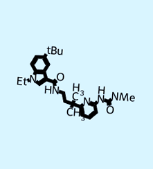 CCn1cc(C(=O)NCCC(C)(C)c2cccc(NC(=O)NC)n2)c2cc(C(C)(C)C)ccc21